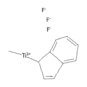 [CH3][Ti+3][CH]1C=Cc2ccccc21.[F-].[F-].[F-]